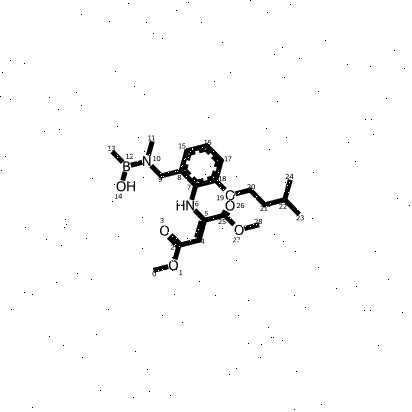 COC(=O)/C=C(\Nc1c(CN(C)B(C)O)cccc1OCCC(C)C)C(=O)OC